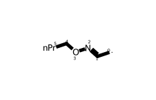 [CH2]C=NOCCCC